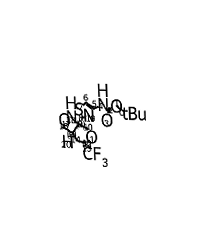 CC(C)(C)OC(=O)Nc1csc([C@]23CO[C@@H](C(F)(F)F)C[C@H]2CON3)n1